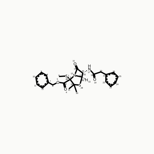 CS[C@@]1(C(=O)OCc2ccccc2)N2C(=O)[C@H](NC(=O)Cc3ccccc3)[C@H]2SC1(C)C